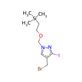 C[Si](C)(C)CCOCn1cc(CBr)c(I)n1